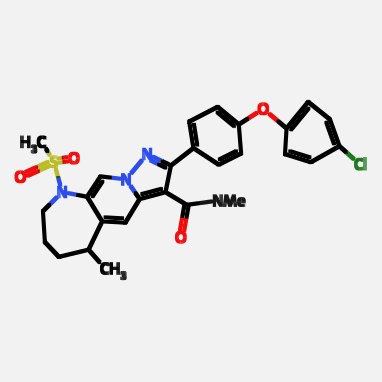 CNC(=O)c1c(-c2ccc(Oc3ccc(Cl)cc3)cc2)nn2cc3c(cc12)C(C)CCCN3S(C)(=O)=O